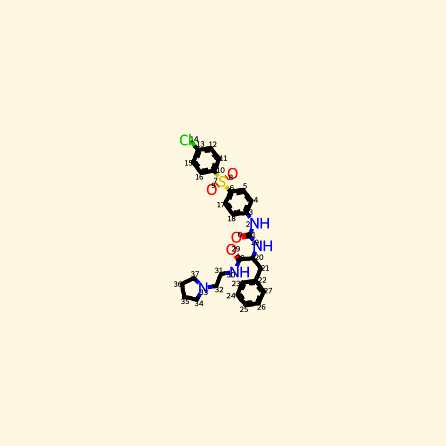 O=C(Nc1ccc(S(=O)(=O)c2ccc(Cl)cc2)cc1)NC(Cc1ccccc1)C(=O)NCCN1CCCC1